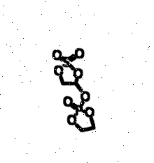 O=P1(OC2COS(=O)(=O)O2)OCCO1